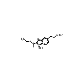 CCCCCCCCCCCCc1ccc2oc(NCCN)nc2c1.Cl